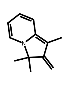 C=C1C(C)=C2C=CC=CN2C1(C)C